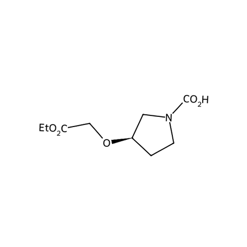 CCOC(=O)CO[C@@H]1CCN(C(=O)O)C1